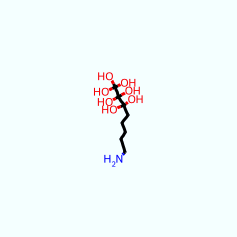 NCCCCCC(O)(O)C(O)(O)C(O)(O)O